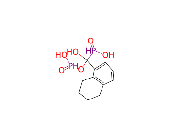 O=[PH](O)OC(O)(c1cccc2c1CCCC2)[PH](=O)O